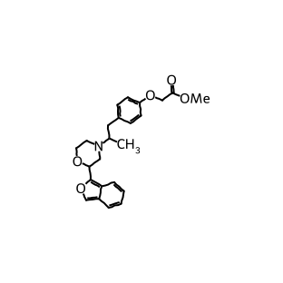 COC(=O)COc1ccc(CC(C)N2CCOC(c3occ4ccccc34)C2)cc1